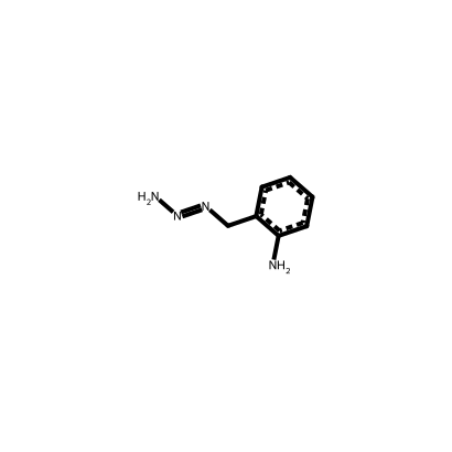 NN=NCc1ccccc1N